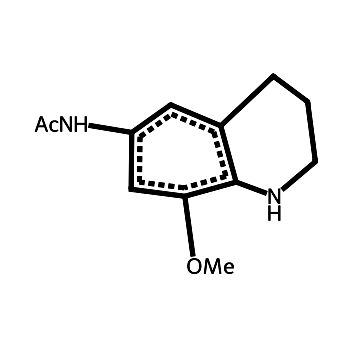 COc1cc(NC(C)=O)cc2c1NCCC2